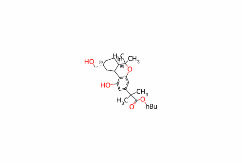 CCCCOC(=O)C(C)(C)c1cc(O)c2c(c1)OC(C)(C)[C@@H]1CC[C@@H](CO)CC21